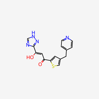 O=C(C=C(O)c1nc[nH]n1)c1cc(Cc2ccncc2)cs1